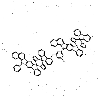 Cc1cc(Cc2cccc3c2-c2ccccc2C32c3ccccc3C3(c4ccccc4-c4cc5c(cc43)c3ccc4ccccc4c3n5-c3ccccc3)c3ccccc32)cc(-n2c3cc4c(cc3c3ccc5ccccc5c32)C2(c3ccccc3-4)c3ccccc3C3(c4ccccc4-c4ccccc43)c3ccccc32)c1